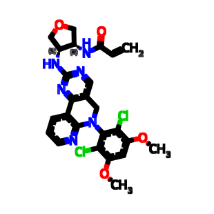 C=CC(=O)N[C@H]1COC[C@H]1Nc1ncc2c(n1)-c1cccnc1N(c1c(Cl)c(OC)cc(OC)c1Cl)C2